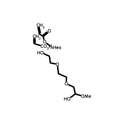 C=CC(=O)O.C=CC(=O)OCCCCCC.COC(O)COCCOCCO